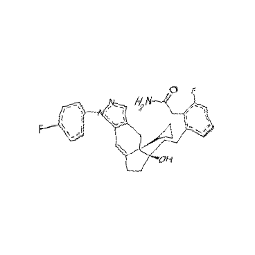 NC(=O)Cc1c(F)cccc1CC[C@]1(O)CCC2=Cc3c(cnn3-c3ccc(F)cc3)C[C@@]21C1CC1